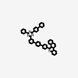 c1ccc(-c2ccc(-c3nc(-c4ccccc4)nc(-c4cccc(-c5ccc(-c6ccc(-c7nc8ccccc8c8ccc9ccccc9c78)cc6)cc5)c4)n3)cc2)cc1